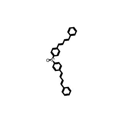 [O-][S+](c1ccc(C=CC=Cc2ccccc2)cc1)c1ccc(C=CC=Cc2ccccc2)cc1